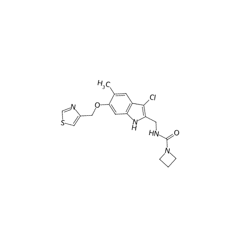 Cc1cc2c(Cl)c(CNC(=O)N3CCC3)[nH]c2cc1OCc1cscn1